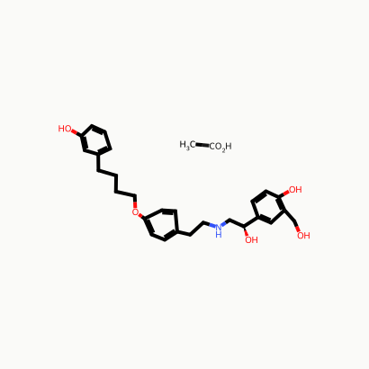 CC(=O)O.OCc1cc([C@@H](O)CNCCc2ccc(OCCCCc3cccc(O)c3)cc2)ccc1O